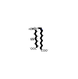 CCCCCCCC/C=C\CCCCCCCC(=O)[O-].CCCCCCCCCCCCCCCCCC(=O)[O-].[K+].[K+]